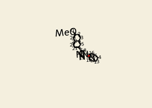 COc1ccc2cc(-c3cn(C4CC5CCC(C4)N5C)nn3)ccc2c1